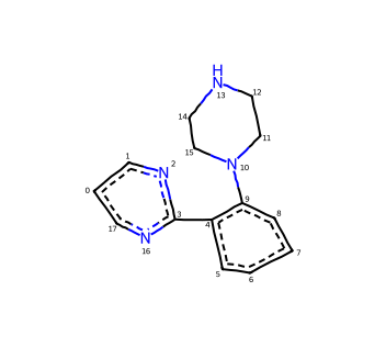 c1cnc(-c2ccccc2N2CCNCC2)nc1